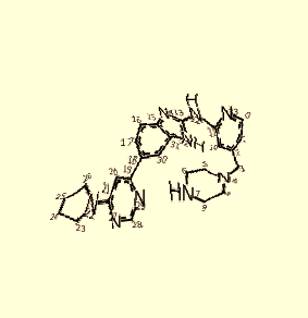 c1cc(CN2CCNCC2)cc(Nc2nc3ccc(-c4cc(N5CCCC5)ncn4)cc3[nH]2)n1